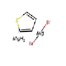 [Br][Mg][Br].[MgH2].[c]1cccs1